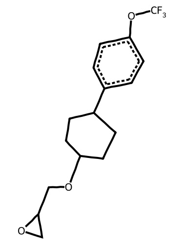 FC(F)(F)Oc1ccc(C2CCC(OCC3CO3)CC2)cc1